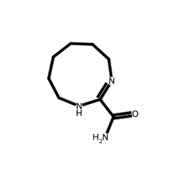 NC(=O)C1=NCCCCCCN1